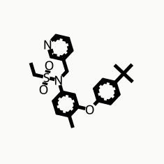 CCS(=O)(=O)N(Cc1cccnc1)c1ccc(C)c(Oc2ccc(C(C)(C)C)cc2)c1